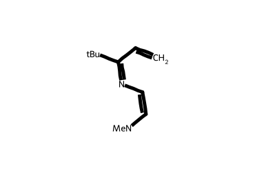 C=C/C(=N\C=C/NC)C(C)(C)C